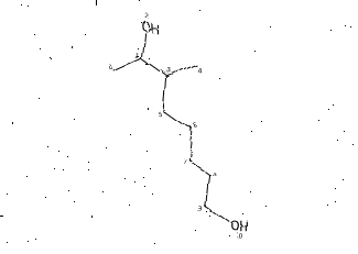 CC(O)C(C)CCCCCO